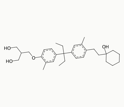 CCC(CC)(c1ccc(CCC2(O)CCCCC2)c(C)c1)c1ccc(OCC(CO)CO)c(C)c1